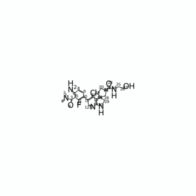 CN(C)C(=O)c1c(N)ccc(-c2cnc3c(c2Cl)[C@@]2(CC[C@@H](C(=O)NCCO)C2)CN3)c1F